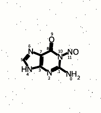 Nc1nc2[nH]cnc2c(=O)n1N=O